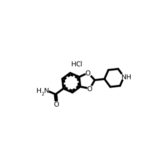 Cl.NC(=O)c1ccc2c(c1)OC(C1CCNCC1)O2